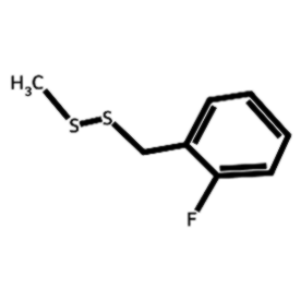 CSSCc1ccccc1F